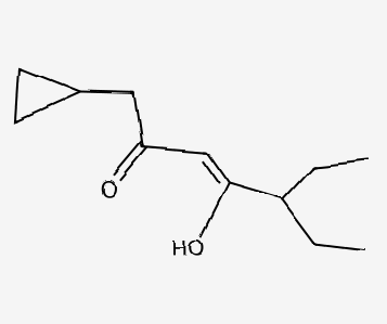 CCC(CC)/C(O)=C/C(=O)CC1CC1